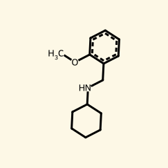 COc1ccccc1CNC1CCCCC1